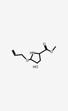 C=CCOC1CCC(C(=O)OC)N1.Cl